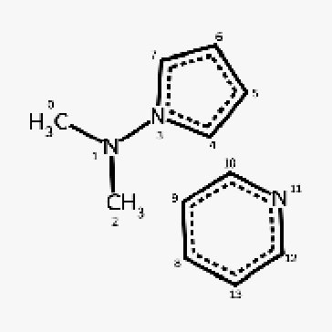 CN(C)n1cccc1.c1ccncc1